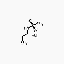 CCCNS(C)(=O)=O.Cl